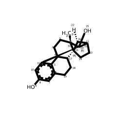 C[C@]12CCC3c4c5cc(O)cc4[C@@]4(CC[C@@]1(C4)C3CC5)[C@@H]2O